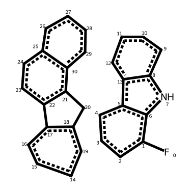 Fc1cccc2c1[nH]c1ccccc12.c1ccc2c(c1)Cc1c-2ccc2ccccc12